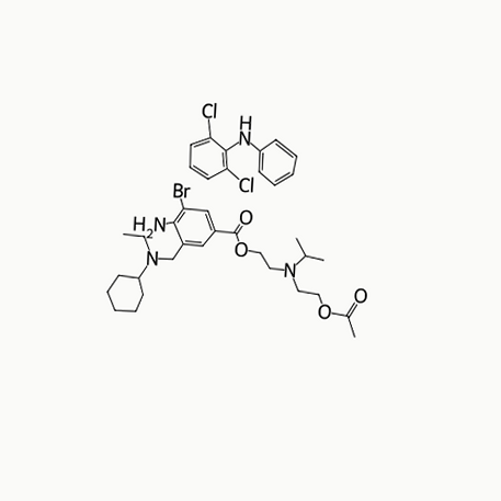 CCN(Cc1cc(C(=O)OCCN(CCOC(C)=O)C(C)C)cc(Br)c1N)C1CCCCC1.Clc1cccc(Cl)c1Nc1ccccc1